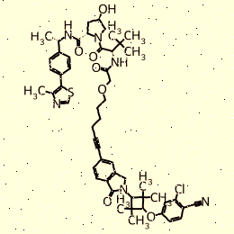 Cc1ncsc1-c1ccc([C@H](C)NC(=O)[C@@H]2C[C@@H](O)CN2C(=O)[C@@H](NC(=O)COCCCCC#Cc2ccc3c(c2)CN(C2C(C)(C)C(Oc4ccc(C#N)c(Cl)c4)C2(C)C)C3=O)C(C)(C)C)cc1